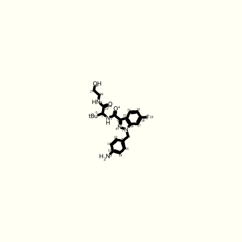 CC(C)(C)C(NC(=O)c1nn(Cc2ccc(N)cc2)c2cc(F)ccc12)C(=O)NCCO